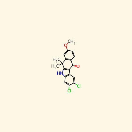 COc1ccc2c(c1)C(C)(C)c1[nH]c3cc(Cl)c(Cl)cc3c1C2=O